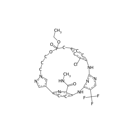 CCOP1(=O)Cc2ccc(c(Cl)c2)Nc2ncc(C(F)(F)F)c(n2)Nc2ccc(nc2C(=O)NC)-c2cnn(c2)CCCO1